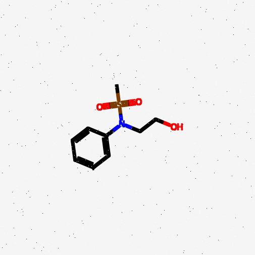 CS(=O)(=O)N(CCO)c1c[c]ccc1